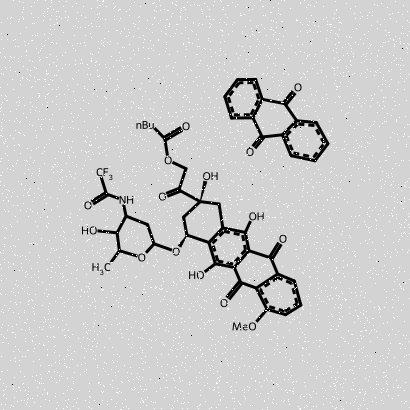 CCCCC(=O)OCC(=O)[C@]1(O)Cc2c(O)c3c(c(O)c2[C@@H](OC2CC(NC(=O)C(F)(F)F)C(O)C(C)O2)C1)C(=O)c1c(OC)cccc1C3=O.O=C1c2ccccc2C(=O)c2ccccc21